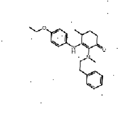 CCOc1ccc(NC2=C(N(C)CCc3ccccc3)C(=O)CCC2C)cc1